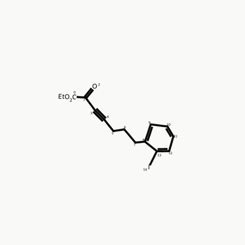 CCOC(=O)C(=O)C#CCCCc1ccccc1I